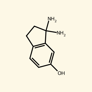 NC1(N)CCc2ccc(O)cc21